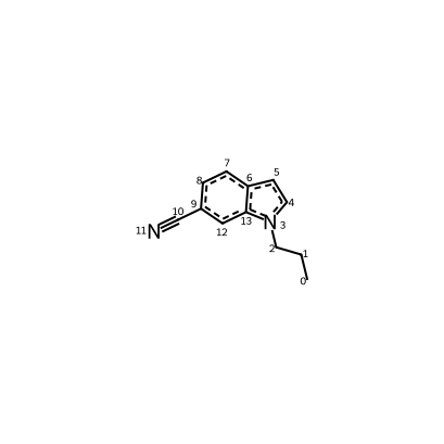 CCCn1ccc2ccc(C#N)cc21